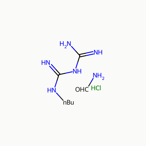 CCCCNC(=N)NC(=N)N.Cl.NC=O